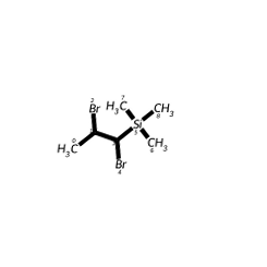 CC(Br)C(Br)[Si](C)(C)C